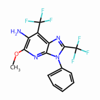 COc1nc2c(nc(C(F)(F)F)n2-c2ccccc2)c(C(F)(F)F)c1N